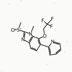 Cn1c([S+](C)[O-])nc2ccc(-c3ccccn3)c(OCC(F)(F)F)c21